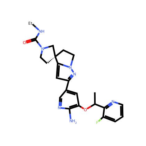 CCNC(=O)N1CC[C@@]2(CCn3nc(-c4cnc(N)c(OC(C)c5ncccc5F)c4)cc32)C1